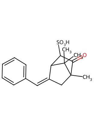 CC12C/C(=C/c3ccccc3)C(C(S(=O)(=O)O)C1=O)C2(C)C